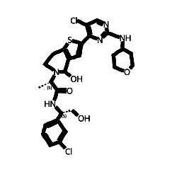 C[C@@H](C(=O)N[C@H](CO)c1cccc(Cl)c1)N1CCc2sc(-c3nc(NC4CCOCC4)ncc3Cl)cc2C1O